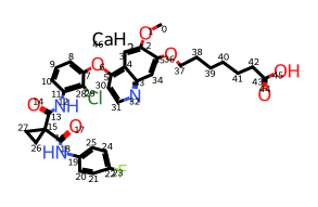 COc1cc2c(Oc3cccc(NC(=O)C4(C(=O)Nc5ccc(F)cc5)CC4)c3Cl)ccnc2cc1OCCCCCCC(=O)O.[CaH2]